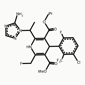 COC(=O)C1=C(CF)NC(C(C)n2ncnc2N)=C(C(=O)OC(C)C)C1c1c(F)ccc(Cl)c1C(F)(F)F